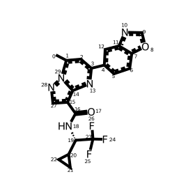 Cc1cc(-c2ccc3ocnc3c2)nc2c(C(=O)N[C@@H](C3CC3)C(F)(F)F)cnn12